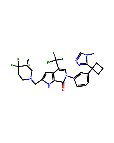 C[C@H]1CN(Cc2cc3c(C(F)(F)F)cn(-c4cccc(C5(c6nncn6C)CCC5)c4)c(=O)c3[nH]2)CCC1(F)F